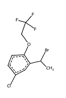 CC(Br)c1cc(Cl)ccc1OCC(F)(F)F